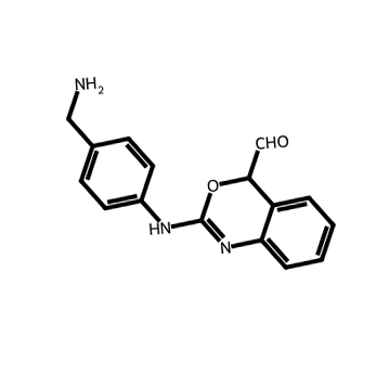 NCc1ccc(NC2=Nc3ccccc3C(C=O)O2)cc1